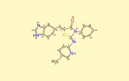 Cc1ccc(/N=C2\S/C(=C\c3ccc4[nH]cnc4c3)C(=O)N2c2ccccc2)nc1